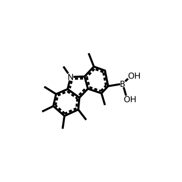 Cc1c(C)c(C)c2c(c1C)c1c(C)c(B(O)O)cc(C)c1n2C